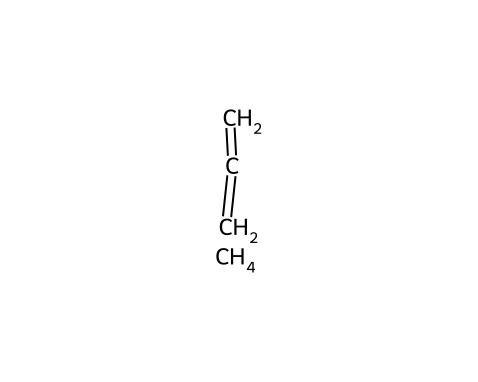 C.C=C=C